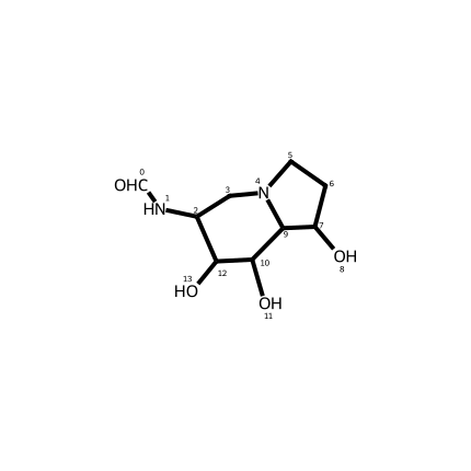 O=CNC1CN2CCC(O)C2C(O)C1O